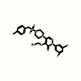 CC(C)(C)COc1c(N2CCN(S(=O)(=O)Cc3ccc(I)cc3)CC2)cnn(-c2cc(F)cc(F)c2)c1=O